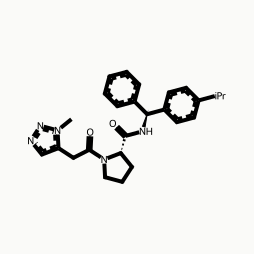 CC(C)c1ccc([C@@H](NC(=O)[C@@H]2CCCN2C(=O)Cc2cnnn2C)c2ccccc2)cc1